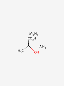 CC(O)C(=O)O.[AlH3].[MgH2]